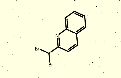 BrC(Br)c1ccc2ccccc2n1